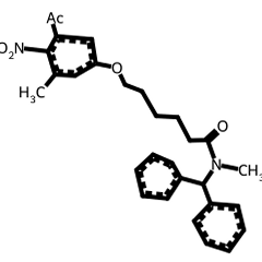 CC(=O)c1cc(OCCCCCC(=O)N(C)C(c2ccccc2)c2ccccc2)cc(C)c1[N+](=O)[O-]